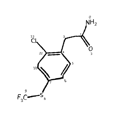 NC(=O)Cc1ccc(SC(F)(F)F)cc1Cl